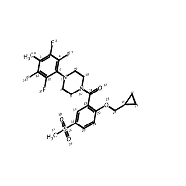 Cc1c(F)c(F)c(N2CCN(C(=O)c3cc(S(C)(=O)=O)ccc3OCC3CC3)CC2)c(F)c1F